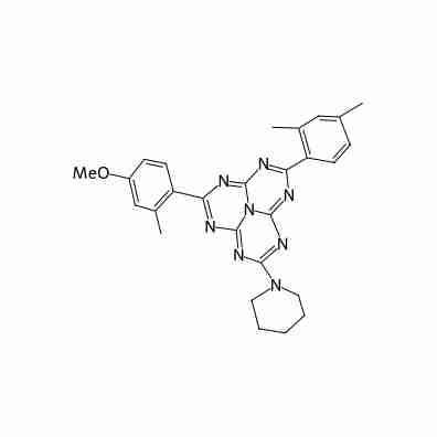 COc1ccc(C2=NC3=NC(N4CCCCC4)=NC4=NC(c5ccc(C)cc5C)=NC(=N2)N43)c(C)c1